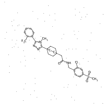 Cn1c(-c2ccccc2C(F)(F)F)nnc1C12CCC(CC(=O)NCc3ccc(S(C)(=O)=O)cc3Cl)(CC1)CC2